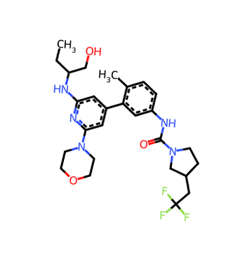 CCC(CO)Nc1cc(-c2cc(NC(=O)N3CCC(CC(F)(F)F)C3)ccc2C)cc(N2CCOCC2)n1